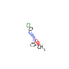 CC(=O)c1ccccc1C(=O)N1CCN(Cc2cccc(Cl)c2)CC1